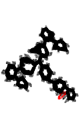 c1ccc(-c2ccccc2-c2ccc(C(c3ccc(-c4ccc5c(c4)oc4ccccc45)cc3)c3ccc(-c4ccccc4-c4ccccc4)cc3)cc2)cc1